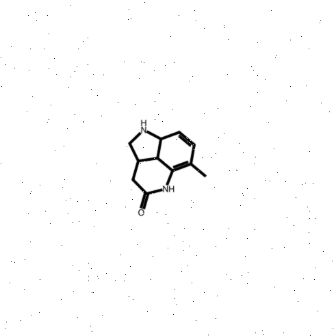 CC1=C2NC(=O)CC3CNC(C=C1)C23